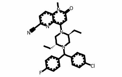 CC[C@H]1CN(C(c2ccc(F)cc2)c2ccc(Cl)cc2)[C@H](CC)CN1c1cc(=O)n(C)c2ccc(C#N)nc12